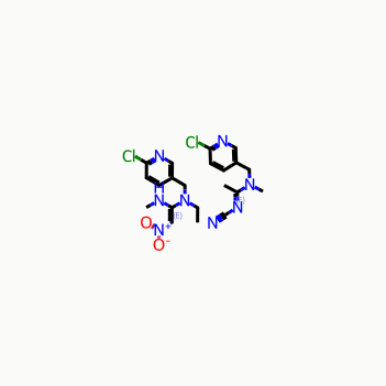 C/C(=N\C#N)N(C)Cc1ccc(Cl)nc1.CCN(Cc1ccc(Cl)nc1)/C(=C/[N+](=O)[O-])NC